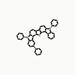 c1ccc(-c2ccc3c(c2)c2c4sc5c(ccc6c5c5ccccc5n6-c5ccccc5)c4ccc2n3-c2ccccc2)cc1